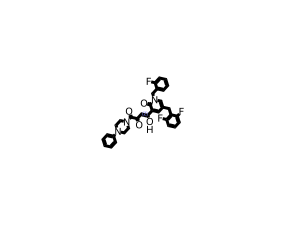 O=C(/C=C(\O)c1cc(Cc2c(F)cccc2F)cn(Cc2ccccc2F)c1=O)C(=O)N1CCN(c2ccccc2)CC1